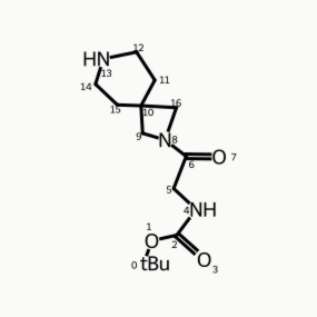 CC(C)(C)OC(=O)NCC(=O)N1CC2(CCNCC2)C1